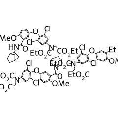 CCOC(=O)CN(C(=O)OCC)c1cc(Cl)c(Oc2ccc(OC)c(C(=O)N3CCCCC3)c2)c(Cl)c1.CCOC(=O)CN(C(=O)OCC)c1cc(Cl)c(Oc2ccc(OC)c(C(=O)NC3CC4CCC3C4)c2)c(Cl)c1.CCOC(=O)CN(C(=O)OCC)c1cc(Cl)c(Oc2ccc(OC)c(CC)c2)c(Cl)c1